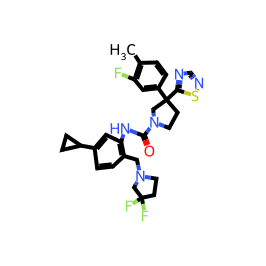 Cc1ccc(C2(c3ncns3)CCN(C(=O)Nc3cc(C4CC4)ccc3CN3CCC(F)(F)C3)C2)cc1F